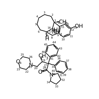 C[C@@]12CCCCC[C@@H](Cc3ccc(O)cc31)[C@@H]2N.C[C@H](CN1CCOCC1)C(C(=O)N1CCCC1)(c1ccccc1)c1ccccc1